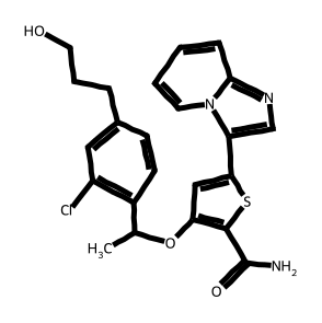 CC(Oc1cc(-c2cnc3ccccn23)sc1C(N)=O)c1ccc(CCCO)cc1Cl